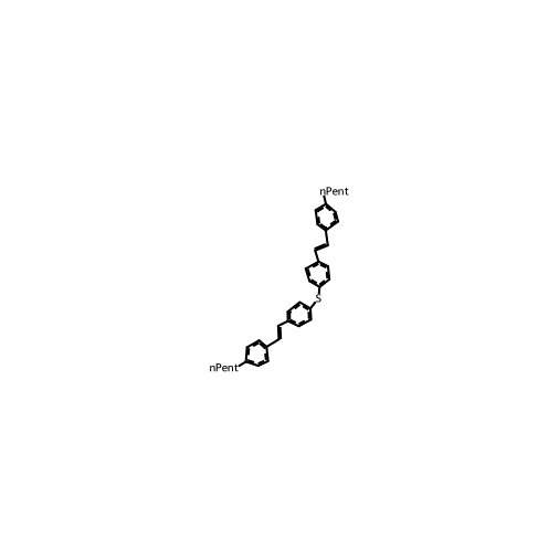 CCCCCc1ccc(/C=C/c2ccc(Sc3ccc(/C=C/c4ccc(CCCCC)cc4)cc3)cc2)cc1